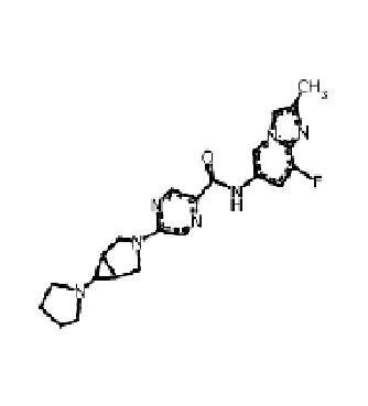 Cc1cn2cc(NC(=O)c3cnc(N4CC5C(C4)C5N4CCCC4)cn3)cc(F)c2n1